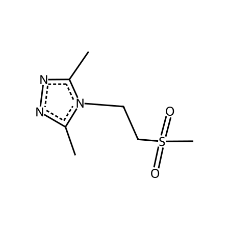 Cc1nnc(C)n1CCS(C)(=O)=O